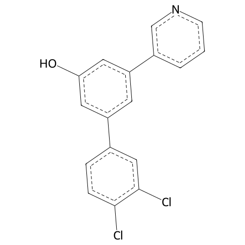 Oc1cc(-c2cccnc2)cc(-c2ccc(Cl)c(Cl)c2)c1